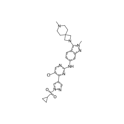 CN1CCC2(CC1)CN(c1c3ccc(Nc4ncc(Cl)c(-c5cnn(S(=O)(=O)C6CC6)c5)n4)cc3nn1C)C2